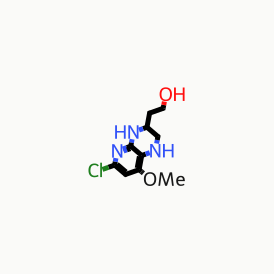 COc1cc(Cl)nc2c1NCC(CCO)N2